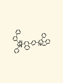 c1ccc(-c2cccc(-c3cc(-c4ccccc4)nc(-c4ccc(-c5ccc(-c6cc(-c7ccccc7)c7c(ccc8ccccc87)n6)cc5)c5ccccc45)n3)c2)cc1